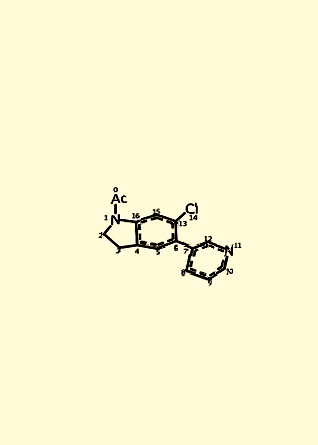 CC(=O)N1CCc2cc(-c3cccnc3)c(Cl)cc21